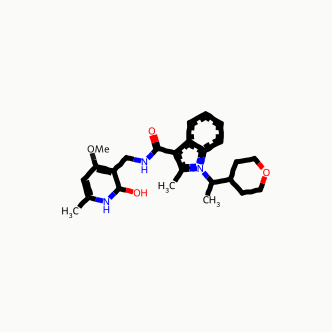 COC1=C(CNC(=O)c2c(C)n(C(C)C3CCOCC3)c3ccccc23)C(O)NC(C)=C1